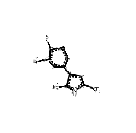 N#Cc1[nH]c(C(F)(F)F)cc1-c1ccc(Cl)c(Br)c1